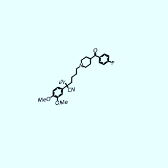 COc1ccc(C(C#N)(CCCCN2CCC(C(=O)c3ccc(F)cc3)CC2)C(C)C)cc1OC